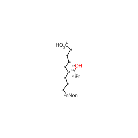 CCCCCCCCCCCCCCCCCC(=O)O.[CH2]C(C)CO